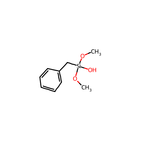 CO[Si](O)(Cc1ccccc1)OC